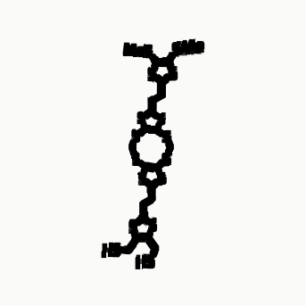 CSC1=C(SC)SC(=CC=C2SC3=C(SCSC4=C(SCS3)SC(=CC=C3SC(CS)=C(CS)S3)S4)S2)S1